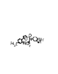 Cc1ccc(-c2ccc(C(=O)N(C3CC3)C3CCc4[nH]ncc4C3)o2)c([N+](=O)[O-])c1